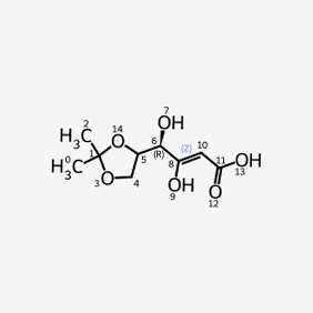 CC1(C)OCC([C@@H](O)/C(O)=C/C(=O)O)O1